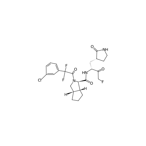 O=C1NCC[C@@H]1C[C@@H](NC(=O)[C@H]1[C@@H]2CCC[C@@H]2CN1C(=O)C(F)(F)c1cccc(Cl)c1)C(=O)CF